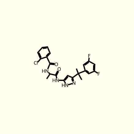 CC(NC(=O)c1ccccc1Cl)C(=O)Nc1cc(C(C)(C)c2cc(F)cc(F)c2)n[nH]1